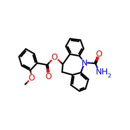 COc1ccccc1C(=O)OC1Cc2ccccc2N(C(N)=O)c2ccccc21